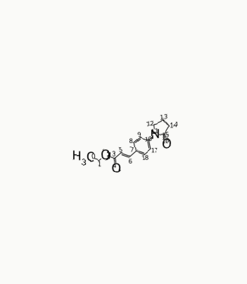 CCOC(=O)/C=C/c1ccc(N2CCCC2=O)cc1